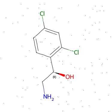 NC[C@H](O)c1ccc(Cl)cc1Cl